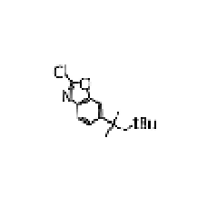 CC(C)(C)CC(C)(C)c1ccc2nc(Cl)oc2c1